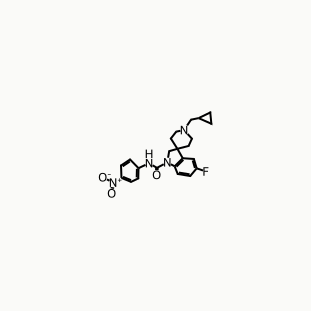 O=C(Nc1ccc([N+](=O)[O-])cc1)N1CC2(CCN(CC3CC3)CC2)c2cc(F)ccc21